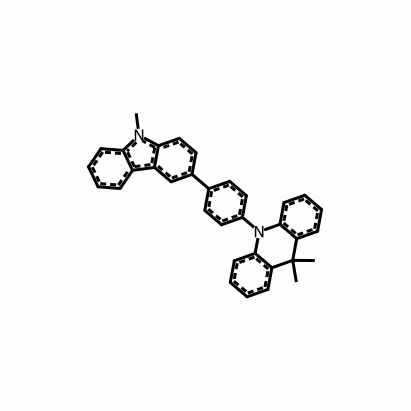 Cn1c2ccccc2c2cc(-c3ccc(N4c5ccccc5C(C)(C)c5ccccc54)cc3)ccc21